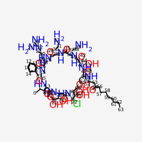 CC/C=C1\NC(=O)[C@H](Cc2ccccc2)NC(=O)[C@H](CCCN=C(N)N)NC(=O)[C@H](CCN)NC(=O)[C@H](CCN)NC(=O)[C@H](CO)NC(=O)[C@@H](NC(=O)CC(O)CCCCCCCC)COC(=O)[C@H]([C@H](O)CCl)NC(=O)[C@@H](C(O)C(=O)O)NC1=O